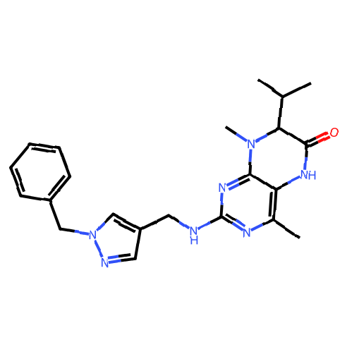 Cc1nc(NCc2cnn(Cc3ccccc3)c2)nc2c1NC(=O)C(C(C)C)N2C